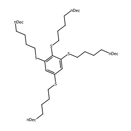 CCCCCCCCCCCCCCSc1cc(SCCCCCCCCCCCCCC)c(SCCCCCCCCCCCCCC)c(SCCCCCCCCCCCCCC)c1